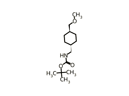 COC[C@H]1CC[C@H](CNC(=O)OC(C)(C)C)CC1